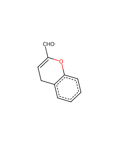 O=[C]C1=CCc2ccccc2O1